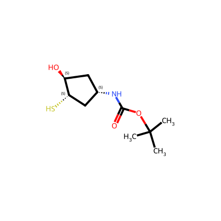 CC(C)(C)OC(=O)N[C@H]1C[C@H](O)[C@@H](S)C1